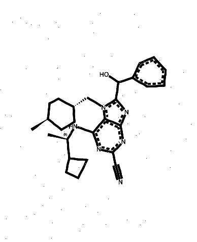 C[C@@H](Nc1nc(C#N)nc2nc(C(O)c3ccccc3)n(C[C@H]3CC[C@H](C)CC3)c12)C1CCC1